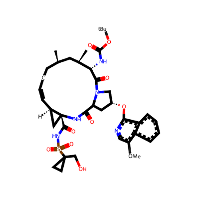 COc1cnc(O[C@@H]2CC3C(=O)N[C@]4(C(=O)NS(=O)(=O)C5(CO)CC5)C[C@H]4/C=C\CC[C@@H](C)C[C@@H](C)[C@H](NC(=O)OC(C)(C)C)C(=O)N3C2)c2ccccc12